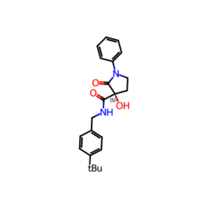 CC(C)(C)c1ccc(CNC(=O)[C@@]2(O)CCN(c3ccccc3)C2=O)cc1